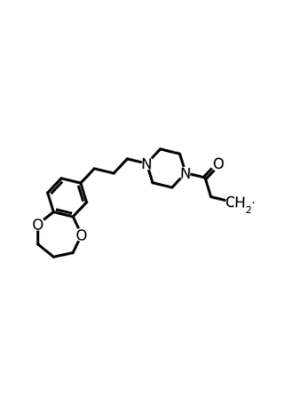 [CH2]CC(=O)N1CCN(CCCc2ccc3c(c2)OCCCO3)CC1